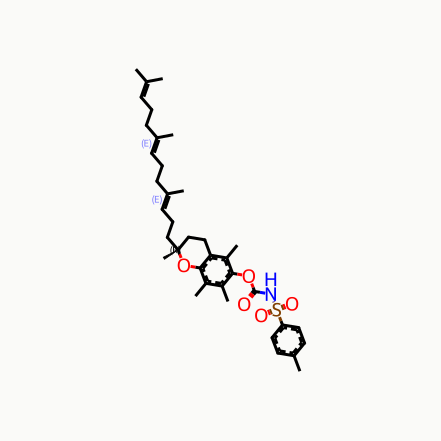 CC(C)=CCC/C(C)=C/CC/C(C)=C/CC[C@]1(C)CCc2c(C)c(OC(=O)NS(=O)(=O)c3ccc(C)cc3)c(C)c(C)c2O1